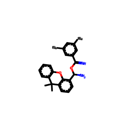 CC(C)(C)c1cc(C(=N)OC(N)c2cccc3c2Oc2ccccc2C3(C)C)cc(C(C)(C)C)c1